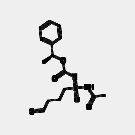 CC(=O)NS(=O)(CCCC=O)=NC(=O)O[C@@H](C)c1ccccc1